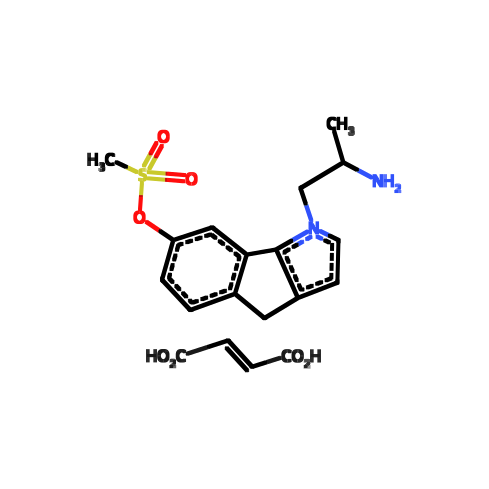 CC(N)Cn1ccc2c1-c1cc(OS(C)(=O)=O)ccc1C2.O=C(O)C=CC(=O)O